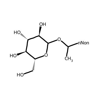 CCCCCCCCCC(C)OC1O[C@H](CO)[C@@H](O)[C@H](O)[C@H]1O